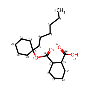 CCCCCCC1(OC(=O)C2CCCCC2C(=O)O)CCCCC1